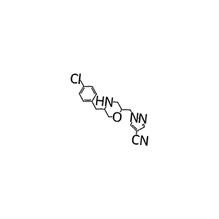 N#Cc1cnn(CC2CNC(Cc3ccc(Cl)cc3)CO2)c1